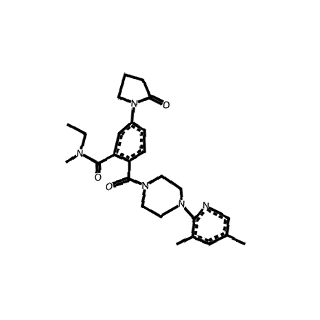 CCN(C)C(=O)c1cc(N2CCCC2=O)ccc1C(=O)N1CCN(c2ncc(C)cc2C)CC1